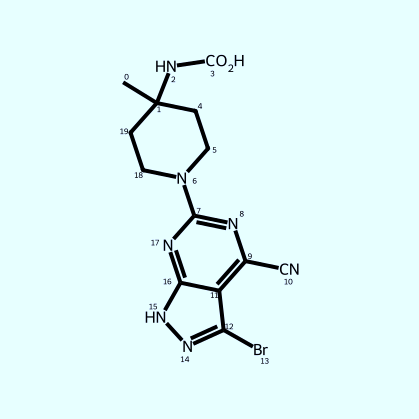 CC1(NC(=O)O)CCN(c2nc(C#N)c3c(Br)n[nH]c3n2)CC1